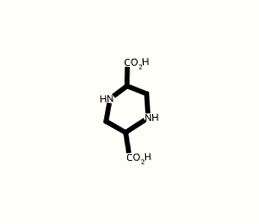 O=C(O)C1CNC(C(=O)O)CN1